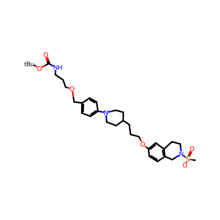 CC(C)(C)OC(=O)NCCCOCc1ccc(N2CCC(CCCOc3ccc4c(c3)CCN(S(C)(=O)=O)C4)CC2)cc1